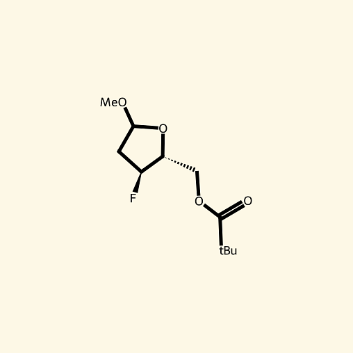 COC1C[C@H](F)[C@@H](COC(=O)C(C)(C)C)O1